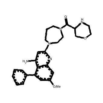 COc1cc(-c2ccccc2)c2c(N)cc(N3CCCN(C(=O)C4COCCN4)CC3)nc2c1